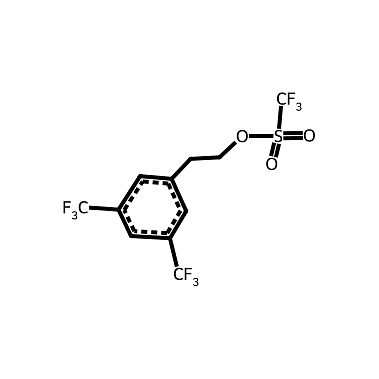 O=S(=O)(OCCc1cc(C(F)(F)F)cc(C(F)(F)F)c1)C(F)(F)F